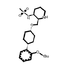 CC(C)(C)Oc1ccccc1[C@H]1CC[C@@H](OC[C@@H]2NCCC[C@@H]2NS(C)(=O)=O)CC1